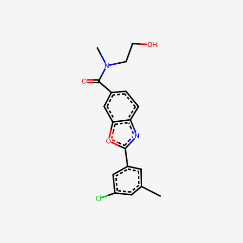 Cc1cc(Cl)cc(-c2nc3ccc(C(=O)N(C)CCO)cc3o2)c1